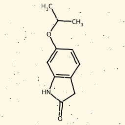 CC(C)Oc1ccc2c(c1)NC(=O)C2